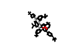 CC(C)c1cc2c3c(c1)N(c1ccc(C(C)(C)C)cc1-c1cccc(-c4ccc(C(C)(C)C)cc4)c1)c1cc4c(cc1B3c1cc(C(C)(C)C)ccc1N2c1ccc(C(C)(C)C)cc1)C(C)(C)CCC4(C)C